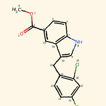 COC(=O)c1ccc2[nH]cc(Cc3ccc(Cl)cc3Cl)c2c1